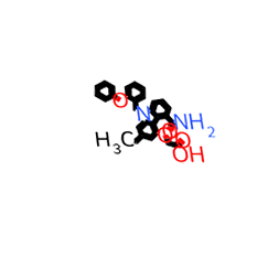 CCc1cc(OCC(=O)O)c2c3c(C(N)=O)cccc3n(Cc3ccccc3Oc3ccccc3)c2c1